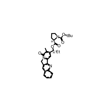 CC[C@@H](OC(=O)[C@H]1CCCN1C(=O)OC(C)(C)C)c1cc2n(c(=O)c1C)Cc1cc3ccccc3nc1-2